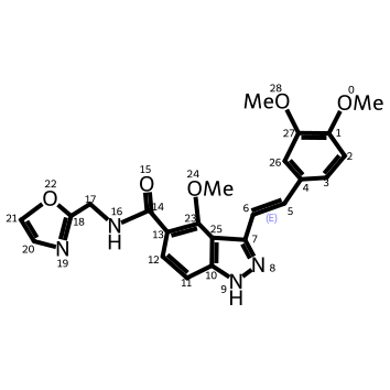 COc1ccc(/C=C/c2n[nH]c3ccc(C(=O)NCc4ncco4)c(OC)c23)cc1OC